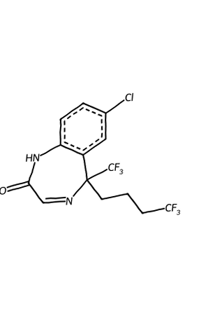 O=C1C=NC(CCCC(F)(F)F)(C(F)(F)F)c2cc(Cl)ccc2N1